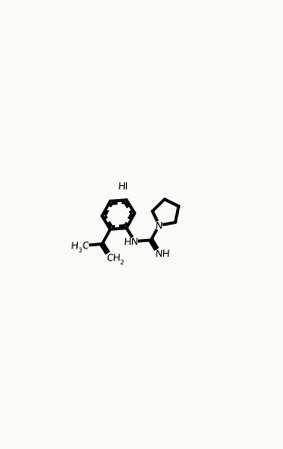 C=C(C)c1ccccc1NC(=N)N1CCCC1.I